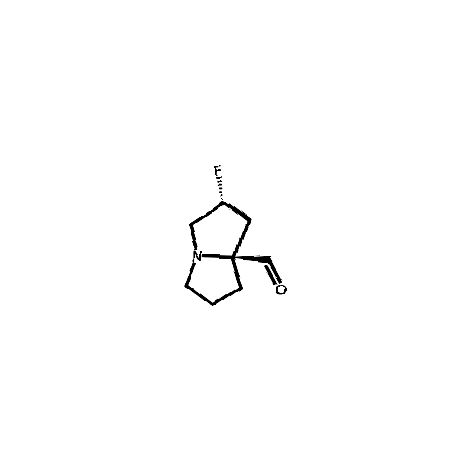 O=C[C@@]12CCCN1C[C@H](F)C2